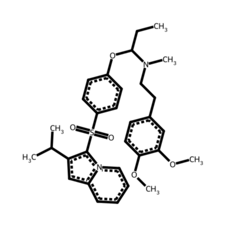 CCC(Oc1ccc(S(=O)(=O)c2c(C(C)C)cc3ccccn23)cc1)N(C)CCc1ccc(OC)c(OC)c1